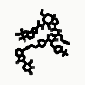 CCN1CC[C@H]2CC[C@@H](C(=O)NC(CCC#N)C(=O)NC(Cc3ccc(C(C)(C)C)cc3)C(=O)N3CCC(CCC#Cc4cccc5c4CN(C4CCC(=O)NC4=O)C5=O)CC3)N2C(=O)[C@@H](NC(=O)c2cc3cc(C(F)(F)P(=O)(O)O)ccc3s2)C1